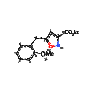 CCOC(=O)c1cc(Cc2ccccc2OC)on1